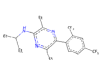 CCc1nc(-c2ccc(C(F)(F)F)cc2C(F)(F)F)c(CC)nc1NC(CC)CC